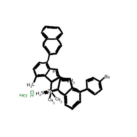 CC1=Cc2c(-c3ccc4ccccc4c3)ccc(C)c2[CH]1[Zr]([CH3])([CH3])(=[SiH2])[CH]1C(C(C)C)=Cc2c(-c3ccc(C(C)(C)C)cc3)cccc21.Cl.Cl